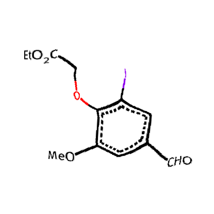 CCOC(=O)COc1c(I)cc(C=O)cc1OC